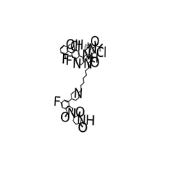 C=C(Cl)C(=O)N1C[C@@H]2C(=O)N(CCCCCCCN3CCC(c4cc(F)cc5c4CN(C4CCC(=O)NC4=O)C5=O)CC3)c3cnc4c(F)c(-c5c(O)cccc5F)c(Cl)cc4c3N2C[C@H]1C